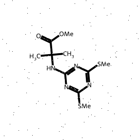 COC(=O)C(C)(C)Nc1nc(SC)nc(SC)n1